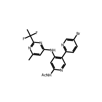 CC(=O)Nc1cc(Nc2cc(C)nc(C(C)(F)F)n2)c(-c2ccc(Br)cn2)cn1